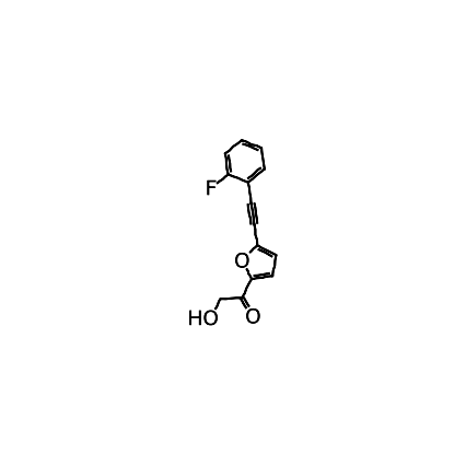 O=C(CO)c1ccc(C#Cc2ccccc2F)o1